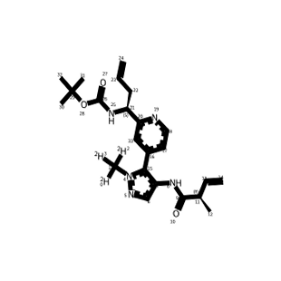 [2H]C([2H])([2H])n1ncc(NC(=O)[C@H](C)C=C)c1-c1ccnc([C@H](CC=C)NC(=O)OC(C)(C)C)c1